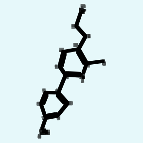 Cc1nc(-c2ccc(C(C)(C)C)cc2)ccc1CCBr